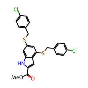 COC(=O)c1cc2c(SCc3ccc(Cl)cc3)cc(SCc3ccc(Cl)cc3)cc2[nH]1